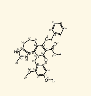 COC(=O)c1c(OCc2ccccc2)c2c(n(Cc3ccc(OC)cc3OC)c1=O)-c1nc(C)[nH]c1CCC2